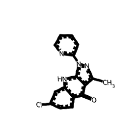 Cc1nn(-c2ccccn2)c2[nH]c3cc(Cl)ccc3c(=O)c12